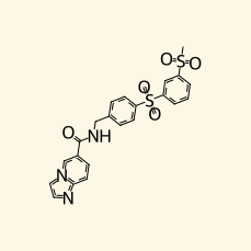 CS(=O)(=O)c1cccc(S(=O)(=O)c2ccc(CNC(=O)c3ccc4nccn4c3)cc2)c1